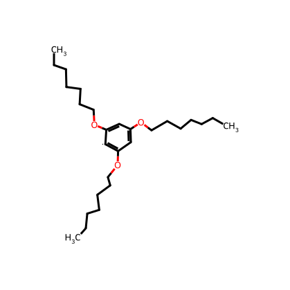 CCCCCCCOc1[c]c(OCCCCCCC)cc(OCCCCCCC)c1